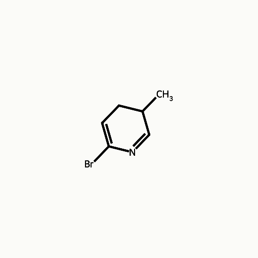 CC1C=NC(Br)=CC1